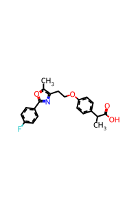 Cc1oc(-c2ccc(F)cc2)nc1CCOc1ccc(C(C)C(=O)O)cc1